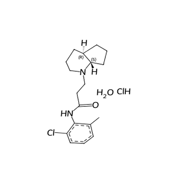 Cc1cccc(Cl)c1NC(=O)CCN1CCC[C@H]2CCC[C@@H]21.Cl.O